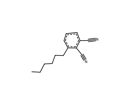 CCCCCCc1cccc(C#N)c1C#N